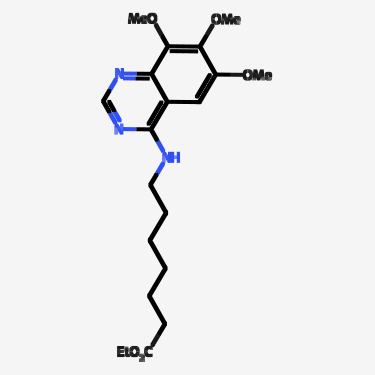 CCOC(=O)CCCCCCNc1ncnc2c(OC)c(OC)c(OC)cc12